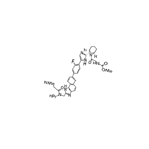 CCCN(Cc1nc2ccc3cc(-c4ccc(-c5cnc([C@@H]6[C@H]7CCC[C@H](C7)N6C(=O)CNC(=O)OC)[nH]5)c(F)c4)ccc3c2[nH]1)C(=O)CNC